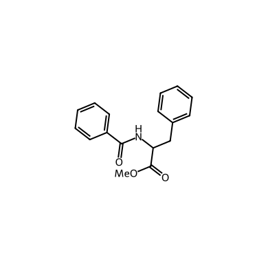 COC(=O)C(Cc1ccccc1)NC(=O)c1ccccc1